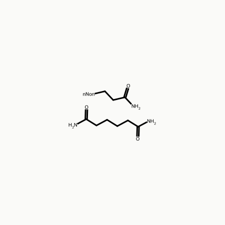 CCCCCCCCCCCC(N)=O.NC(=O)CCCCC(N)=O